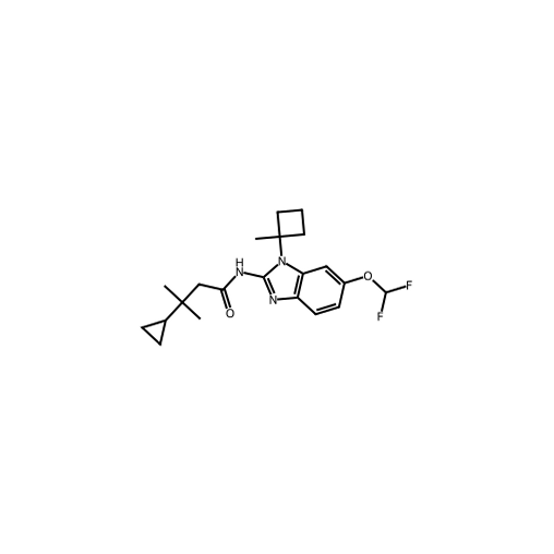 CC(C)(CC(=O)Nc1nc2ccc(OC(F)F)cc2n1C1(C)CCC1)C1CC1